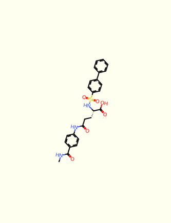 CNC(=O)c1ccc(NC(=O)CC[C@H](NS(=O)(=O)c2ccc(-c3ccccc3)cc2)C(=O)O)cc1